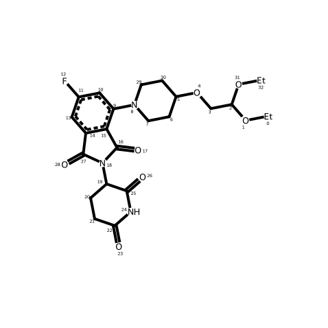 CCOC(COC1CCN(c2cc(F)cc3c2C(=O)N(C2CCC(=O)NC2=O)C3=O)CC1)OCC